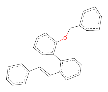 C(=C\c1ccccc1-c1ccccc1OCc1ccccc1)/c1ccccc1